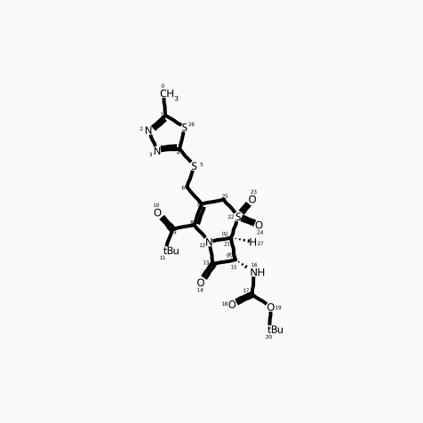 Cc1nnc(SCC2=C(C(=O)C(C)(C)C)N3C(=O)[C@@H](NC(=O)OC(C)(C)C)[C@@H]3S(=O)(=O)C2)s1